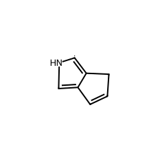 [c]1[nH]cc2c1CC=C2